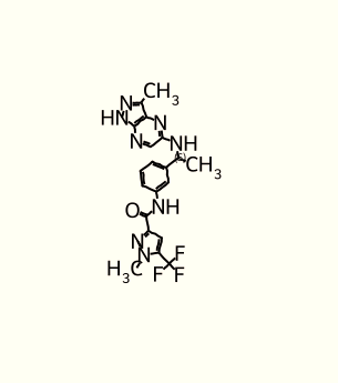 Cc1n[nH]c2ncc(N[C@@H](C)c3cccc(NC(=O)c4cc(C(F)(F)F)n(C)n4)c3)nc12